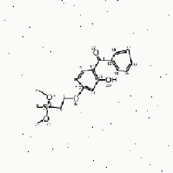 CO[Si](C)(CCOc1ccc(C(=O)c2ccccc2)c(O)c1)OC